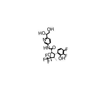 C[C@H]1[C@@H](c2ccc(F)c(F)c2O)[C@H](C(=O)Nc2ccc([C@@H](O)CO)nc2)O[C@@]1(C)C(F)(F)F